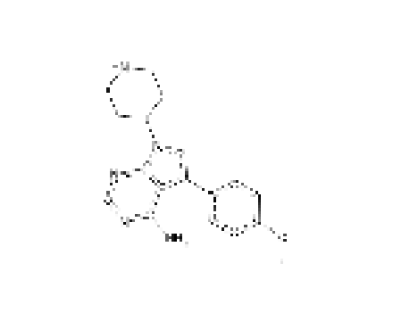 COc1ccc(-c2cn(C3CCNCC3)c3ncnc(N)c23)cc1